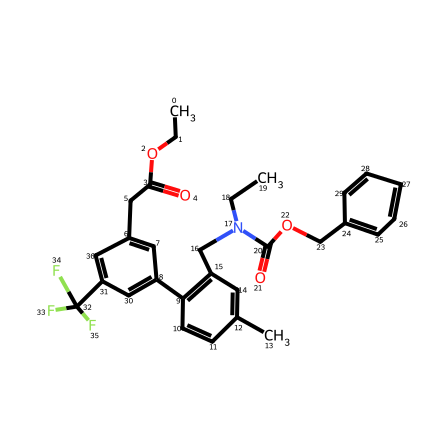 CCOC(=O)Cc1cc(-c2ccc(C)cc2CN(CC)C(=O)OCc2ccccc2)cc(C(F)(F)F)c1